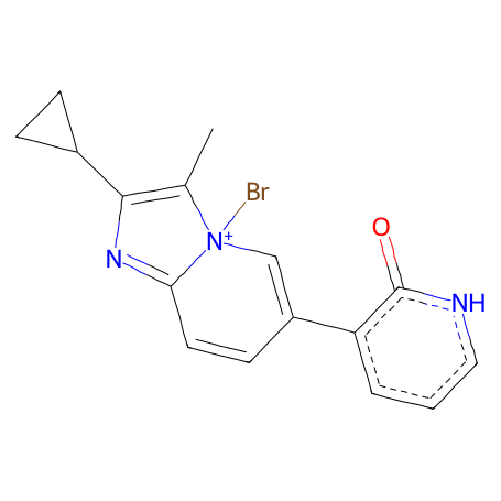 CC1=C(C2CC2)N=C2C=CC(c3ccc[nH]c3=O)=C[N+]21Br